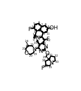 C#Cc1c(F)ccc2cc(O)cc(-c3ncc4c(N5CCOC[C@@H](C)C5)nc(OC[C@@]56CCCN5C[C@H](F)C6)nc4c3F)c12